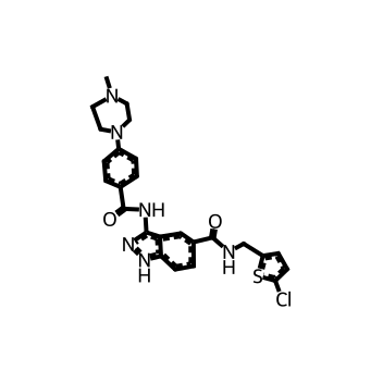 CN1CCN(c2ccc(C(=O)Nc3n[nH]c4ccc(C(=O)NCc5ccc(Cl)s5)cc34)cc2)CC1